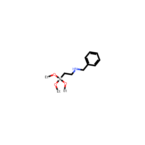 CCO[Si](CCNCc1ccccc1)(OCC)OCC